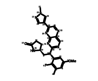 COc1cc(C)c(F)c(N(C[C@@H]2CCC(=O)N2)c2ncc3ncc(-c4cnn(C)c4)nc3n2)c1